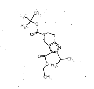 CCOC(=O)c1c2c(nn1C(C)C)CCN(C(=O)OC(C)(C)C)C2